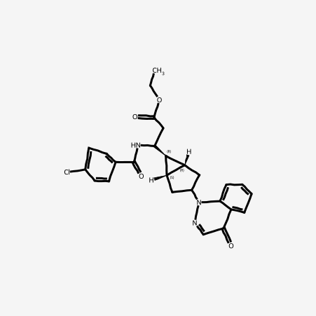 CCOC(=O)CC(NC(=O)c1ccc(Cl)cc1)[C@H]1[C@@H]2CC(n3ncc(=O)c4ccccc43)C[C@@H]21